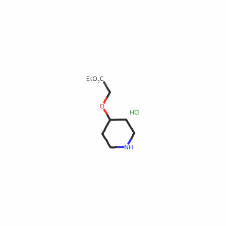 CCOC(=O)COC1CCNCC1.Cl